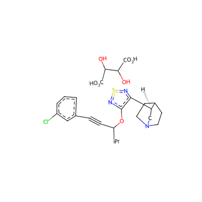 CC(C)C(C#Cc1cccc(Cl)c1)Oc1nsnc1[C@@H]1CN2CCC1CC2.O=C(O)C(O)C(O)C(=O)O